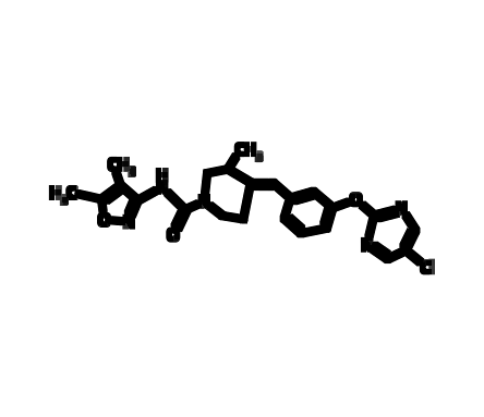 Cc1onc(NC(=O)N2CCC(=Cc3cccc(Oc4ncc(Cl)cn4)c3)C(C)C2)c1C